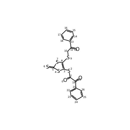 O=C(Sc1sc(=S)sc1SCC(=O)c1ccccc1)C(=O)c1ccccc1